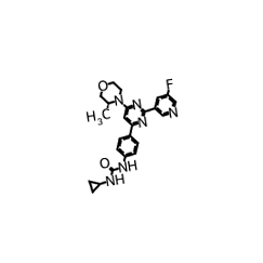 C[C@H]1COCCN1c1cc(-c2ccc(NC(=O)NC3CC3)cc2)nc(-c2cncc(F)c2)n1